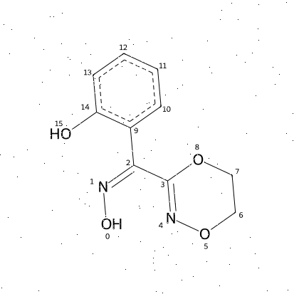 O/N=C(\C1=NOCCO1)c1ccccc1O